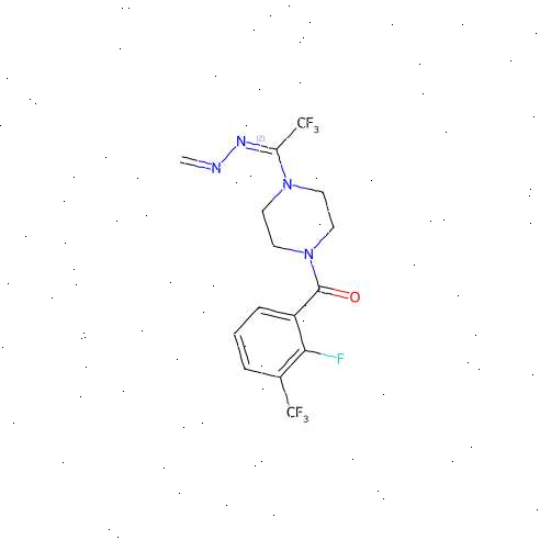 C=N/N=C(\N1CCN(C(=O)c2cccc(C(F)(F)F)c2F)CC1)C(F)(F)F